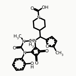 Cc1ccc(C(Nc2c(N(C(=O)N(C)C)c3ccccc3O)c(=O)c2=O)C2CCN(C(=O)O)CC2)o1